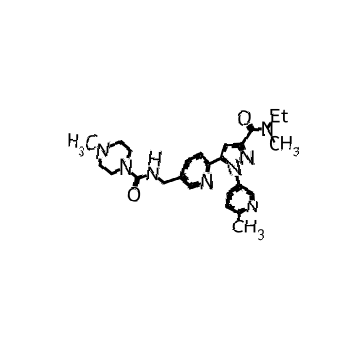 CCN(C)C(=O)c1cc(-c2ccc(CNC(=O)N3CCN(C)CC3)cn2)n(-c2ccc(C)nc2)n1